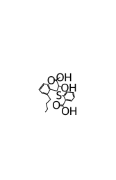 CCCCc1ccccc1C(Sc1ccccc1C(=O)O)C(O)C(=O)O